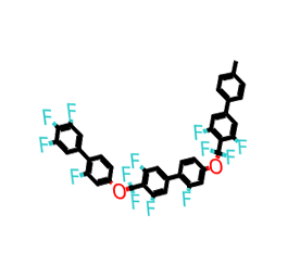 Cc1ccc(-c2cc(F)c(C(F)(F)Oc3ccc(-c4cc(F)c(C(F)(F)Oc5ccc(-c6cc(F)c(F)c(F)c6)c(F)c5)c(F)c4)c(F)c3)c(F)c2)cc1